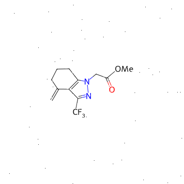 C=C1CCCc2c1c(C(F)(F)F)nn2CC(=O)OC